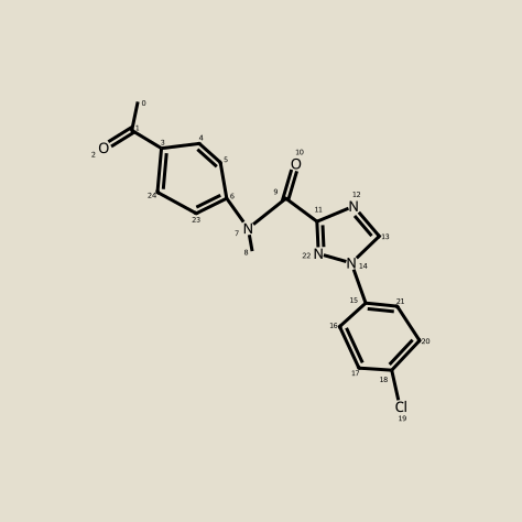 CC(=O)c1ccc(N(C)C(=O)c2ncn(-c3ccc(Cl)cc3)n2)cc1